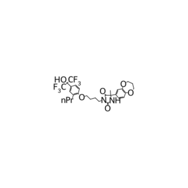 CCCc1cc(C(O)(C(F)(F)F)C(F)(F)F)ccc1OCCCCN1C(=O)NC(C)(c2ccc3c(c2)OCCCO3)C1=O